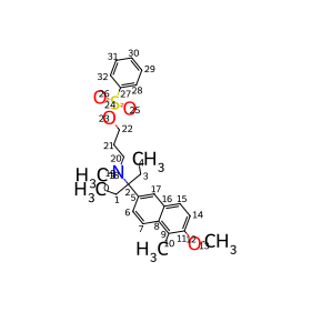 CCC(CC)(c1ccc2c(C)c(OC)ccc2c1)N(C)CCCOS(=O)(=O)c1ccccc1